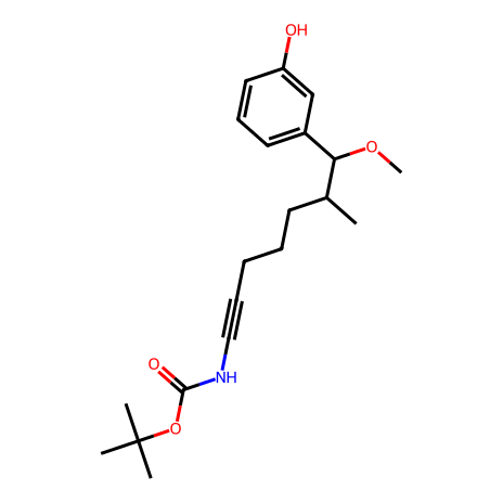 COC(c1cccc(O)c1)C(C)CCCC#CNC(=O)OC(C)(C)C